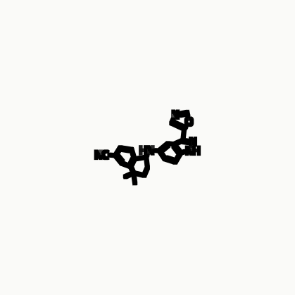 CC1(C)CC[C@@H](Nc2ccc3[nH]nc(-c4cnco4)c3c2)c2ccc(C#N)cc21